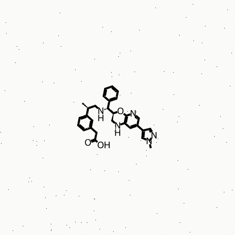 C[C@@H](CN[C@H](c1ccccc1)[C@@H]1CNc2cc(-c3cnn(C)c3)cnc2O1)c1cccc(CC(=O)O)c1